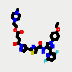 CCOC1CCC(n2cc(NC(=O)c3csc(-c4cnn(C(=O)CCC(=O)OCCN5CCN(C)CC5)c4)n3)c(-c3nc(F)ccc3F)n2)CC1